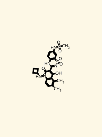 Cc1ccc2c(c1C)c(O)c(C1=NS(=O)(=O)c3cc(NS(C)(=O)=O)ccc3N1)c(=O)n2NC1CCC1